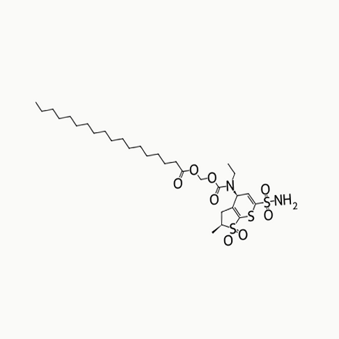 CCCCCCCCCCCCCCCCCC(=O)OCOC(=O)N(CC)[C@H]1C=C(S(N)(=O)=O)SC2=C1C[C@H](C)S2(=O)=O